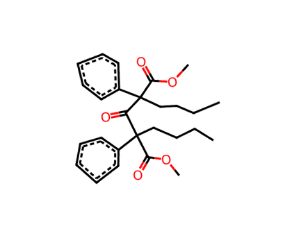 CCCCC(C(=O)OC)(C(=O)C(CCCC)(C(=O)OC)c1ccccc1)c1ccccc1